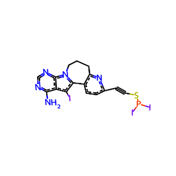 Nc1ncnc2c1c(I)c1n2CCCc2nc(C#CSP(I)I)ccc2-1